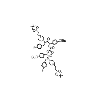 CC(C)COc1ccc(C(OC(=O)C(=O)OC(C(=O)N(Cc2ccc(F)cc2)C2CCN(CCC3OCC(C)(C)CO3)CC2)c2ccc(OCC(C)C)cc2)C(=O)N(Cc2ccc(F)cc2)C2CCN(CCC3OCC(C)(C)CO3)CC2)cc1